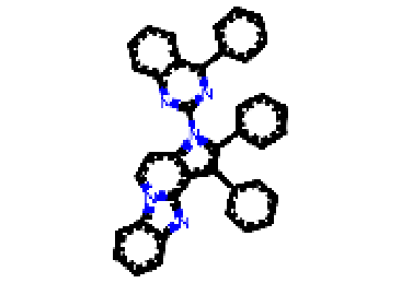 c1ccc(-c2nc(-n3c(-c4ccccc4)c(-c4ccccc4)c4c3ccn3c5ccccc5nc43)nc3ccccc23)cc1